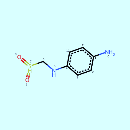 Nc1ccc(NC[SH](=O)=O)cc1